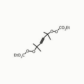 CCOC(=O)OOC(C)(C)C#CC(C)(C)OOC(=O)OCC